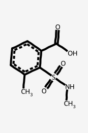 CNS(=O)(=O)c1c(C)cccc1C(=O)O